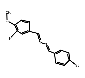 CCc1ccc(C=NN=Cc2ccc(OC(F)(F)F)c(F)c2)cc1